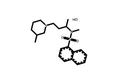 CC1CCCN(CCC(C)N(C)S(=O)(=O)c2cccc3ccccc23)C1.Cl